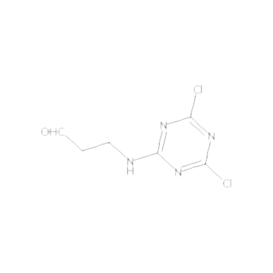 O=CCCNc1nc(Cl)nc(Cl)n1